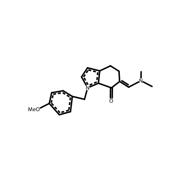 COc1ccc(Cn2ccc3c2C(=O)C(=CN(C)C)CC3)cc1